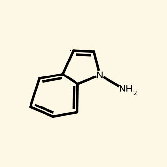 Nn1c[c]c2ccccc21